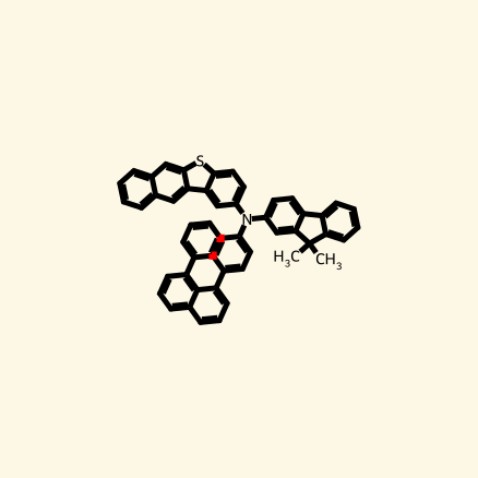 CC1(C)c2ccccc2-c2ccc(N(c3ccc(-c4cccc5cccc(-c6ccccc6)c45)cc3)c3ccc4sc5cc6ccccc6cc5c4c3)cc21